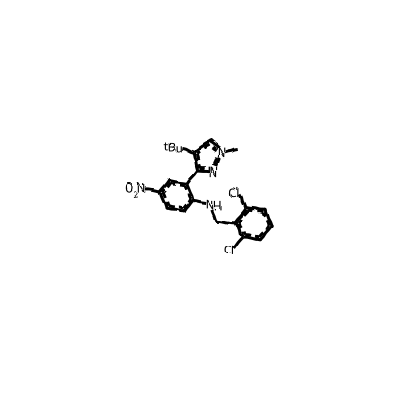 Cn1cc(C(C)(C)C)c(-c2cc([N+](=O)[O-])ccc2NCc2c(Cl)cccc2Cl)n1